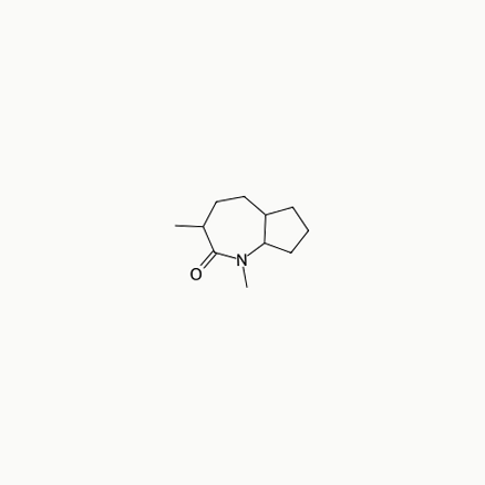 CC1CCC2CCCC2N(C)C1=O